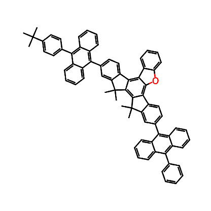 CC(C)(C)c1ccc(-c2c3ccccc3c(-c3ccc4c(c3)C(C)(C)c3c5c(c6oc7ccccc7c6c3-4)-c3ccc(-c4c6ccccc6c(-c6ccccc6)c6ccccc46)cc3C5(C)C)c3ccccc23)cc1